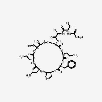 CCCCCCCC(=O)N[C@H](C(=O)N[C@@H](CC)C(=O)N[C@H]1CCNC(=O)[C@H]([C@@H](C)O)NC(=O)[C@H](CCN)NC(=O)[C@H](CCN)NC(=O)[C@H](CC(C)C)NC(=O)[C@H](Cc2ccccc2)NC(=O)[C@H](CCN)NC1=O)[C@@H](C)O